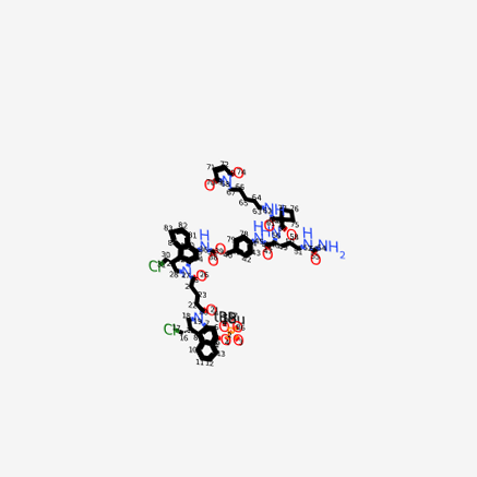 CC(C)(C)OP(=O)(Oc1cc2c(c3ccccc13)[C@H](CCl)CN2C(=O)CCCC(=O)N1C[C@@H](CCl)c2c1cc(NC(=O)OCc1ccc(NC(=O)[C@H](CCCNC(N)=O)NC(=O)C3(C(=O)NCCCCCN4C(=O)C=CC4=O)CCC3)cc1)c1ccccc21)OC(C)(C)C